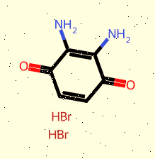 Br.Br.NC1=C(N)C(=O)C=CC1=O